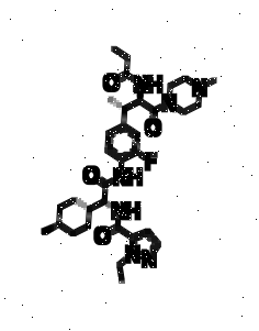 CCC(=O)N[C@@H](C(=O)N1CCN(C)CC1)[C@@H](C)c1ccc(NC(=O)[C@H](NC(=O)c2ccnn2CC)[C@H]2CC[C@H](C)CC2)c(F)c1